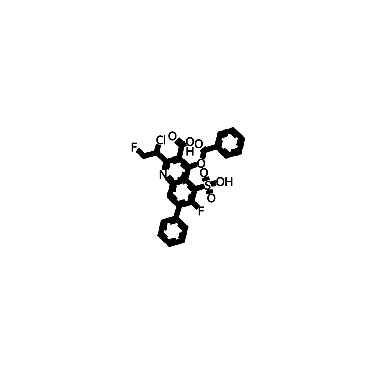 O=C(Oc1c(C(=O)O)c(C(Cl)CF)nc2cc(-c3ccccc3)c(F)c(S(=O)(=O)O)c12)c1ccccc1